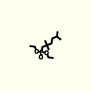 CCOP(=O)(CC(C)(C)CCC(C)C)OCC